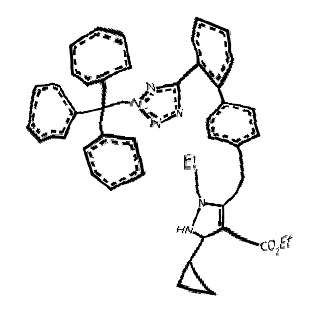 CCOC(=O)C1=C(Cc2ccc(-c3ccccc3-c3nnn(C(c4ccccc4)(c4ccccc4)c4ccccc4)n3)cc2)N(CC)NC1C1CC1